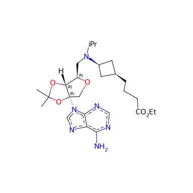 CCOC(=O)CCC[C@H]1C[C@@H](N(C[C@H]2OC[C@@]3(n4cnc5c(N)ncnc54)OC(C)(C)O[C@H]23)C(C)C)C1